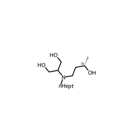 CCCCCCCN(CC[C@H](C)O)C(CO)CO